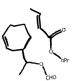 CC(OC=O)C1C=CCCC1.CC=CC(=O)OCCC